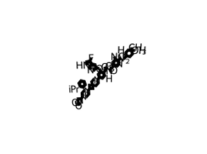 CC(C)c1ccccc1[C@@H]1CN(C2CS(=O)(=O)C2)CCN1C1CC2(CCN(c3ccc(C(=O)NS(=O)(=O)c4cnc(NCC5CCC(C)(O)CC5)c([N+](=O)[O-])c4)c(Oc4cnc5[nH]cc(F)c5c4)c3)CC2)C1